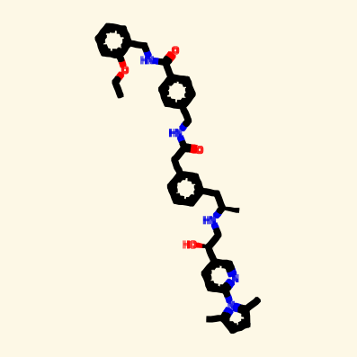 CCOc1ccccc1CNC(=O)c1ccc(CNC(=O)Cc2cccc(C[C@@H](C)NC[C@H](O)c3ccc(-n4c(C)ccc4C)nc3)c2)cc1